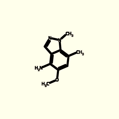 COc1cc(C)c2c(cnn2C)c1N